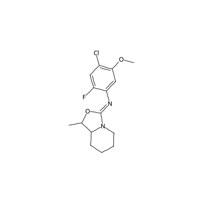 COc1cc(/N=C2\OC(C)C3CCCCN23)c(F)cc1Cl